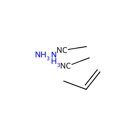 C=CC.CC#N.CC#N.N.N